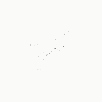 C[C@H](C(=O)O)[C@H]1CC[C@H]2/C(=C/C=C3C[C@@H](O[Si](C)(C)C(C)(C)C)C[C@H](O[Si](C)(C)C(C)(C)C)C3)CCC[C@]12C